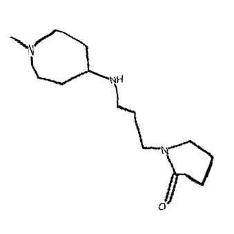 CN1CCC(NCCCN2CCCC2=O)CC1